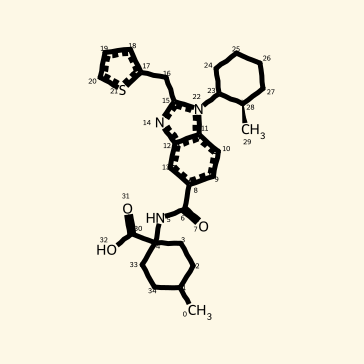 CC1CCC(NC(=O)c2ccc3c(c2)nc(Cc2cccs2)n3C2CCCC[C@H]2C)(C(=O)O)CC1